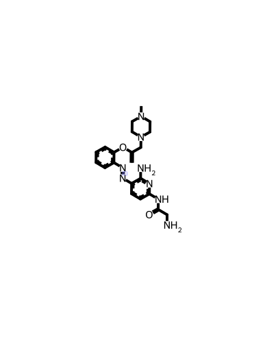 C=C(CN1CCN(C)CC1)Oc1ccccc1/N=N/c1ccc(NC(=O)CN)nc1N